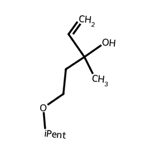 C=CC(C)(O)CCOC(C)CCC